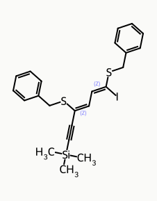 C[Si](C)(C)C#C/C(=C/C=C(\I)SCc1ccccc1)SCc1ccccc1